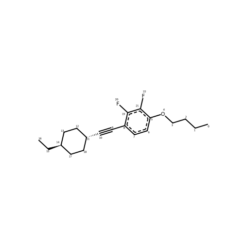 CCCCOc1ccc(C#C[C@H]2CC[C@H](CC)CC2)c(F)c1F